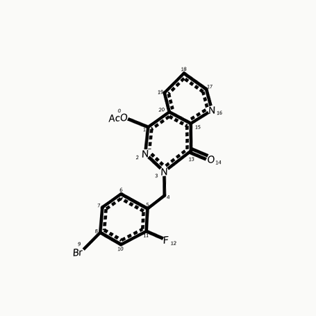 CC(=O)Oc1nn(Cc2ccc(Br)cc2F)c(=O)c2ncccc12